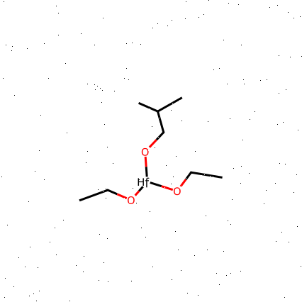 CC[O][Hf]([O]CC)[O]CC(C)C